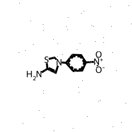 NC1=CN(c2ccc([N+](=O)[O-])cc2)CS1